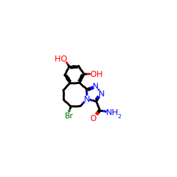 NC(=O)c1nnc2n1CC(Br)CCc1cc(O)cc(O)c1-2